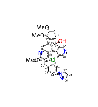 COc1ccc(C(O)(c2cccnc2)c2ccc3nc(OC)c(Cc4ccc(-n5cccn5)cc4)c(Cl)c3c2)cc1OC